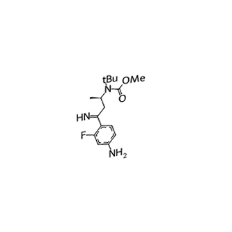 COC(=O)N([C@H](C)CC(=N)c1ccc(N)cc1F)C(C)(C)C